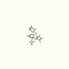 CC1=C(C)C(C)C([Si](C)(c2cc(C)cc([Si](C)(C)C)c2)c2cccc(C)c2C)=C1C